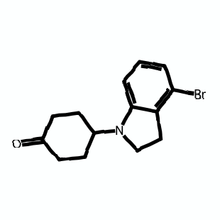 O=C1CCC(N2CCc3c(Br)cccc32)CC1